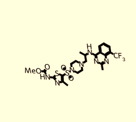 COC(=O)Nc1nc(C)c(S(=O)(=O)N2CCN(CC(C)Nc3nc(C)nc4c(C(F)(F)F)cccc34)CC2)s1